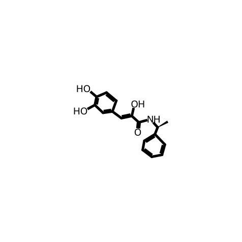 C[C@H](NC(=O)/C(O)=C/c1ccc(O)c(O)c1)c1ccccc1